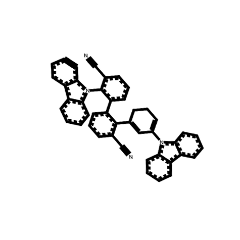 N#Cc1cccc(-c2cccc(C#N)c2-n2c3c#cccc3c3ccccc32)c1C1=CC(n2c3ccccc3c3ccccc32)=CCC1